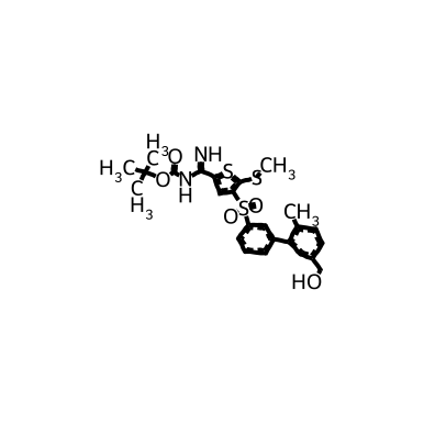 CSc1sc(C(=N)NC(=O)OC(C)(C)C)cc1S(=O)(=O)c1cccc(-c2cc(CO)ccc2C)c1